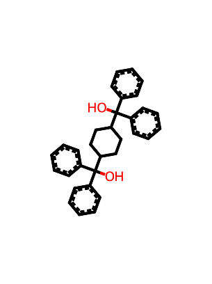 OC(c1ccccc1)(c1ccccc1)C1CCC(C(O)(c2ccccc2)c2ccccc2)CC1